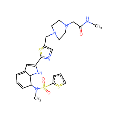 CNC(=O)CN1CCN(Cc2cnc(C3=CC4=CC=CC(N(C)S(=O)(=O)c5cccs5)C4N3)s2)CC1